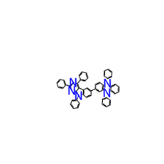 c1ccc(-c2nc(-c3ccccc3)c3c4cc(-c5ccc6c(c5)N(c5ccccc5)c5ccccc5N6c5ccccc5)ccc4n(-c4ccccc4)c3n2)cc1